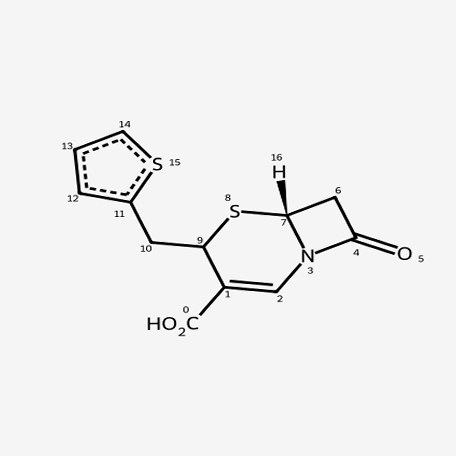 O=C(O)C1=CN2C(=O)C[C@H]2SC1Cc1cccs1